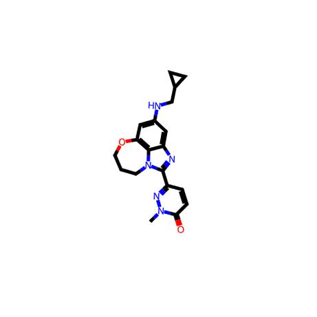 Cn1nc(-c2nc3cc(NCC4CC4)cc4c3n2CCCO4)ccc1=O